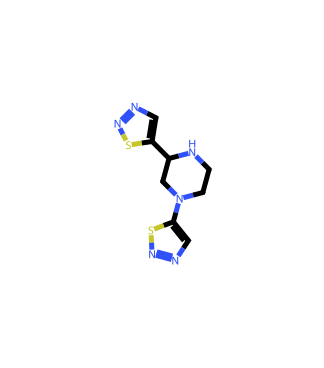 c1nnsc1C1CN(c2cnns2)CCN1